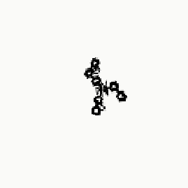 c1ccc(-c2cccc(-c3nc(-c4ccc(-c5cccc6c5oc5ccccc56)cc4)nc(-c4ccc5c(c4)sc4ccccc45)n3)c2)cc1